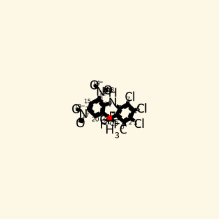 Cc1c(Cl)c(Cl)c(Cl)c(Nc2c([N+](=O)[O-])cc([N+](=O)[O-])cc2C(F)(F)F)c1Cl